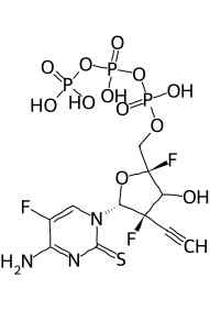 C#C[C@@]1(F)C(O)[C@@](F)(COP(=O)(O)OP(=O)(O)OP(=O)(O)O)O[C@H]1n1cc(F)c(N)nc1=S